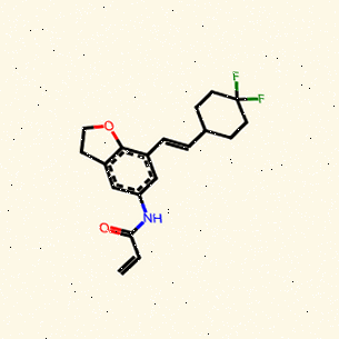 C=CC(=O)Nc1cc(/C=C/C2CCC(F)(F)CC2)c2c(c1)CCO2